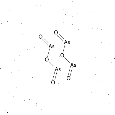 O=[As]O[As]=O.O=[As]O[As]=O